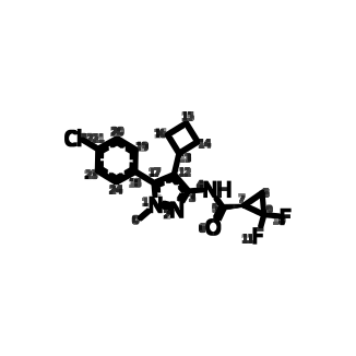 Cn1nc(NC(=O)[C@H]2CC2(F)F)c(C2CCC2)c1-c1ccc(Cl)cc1